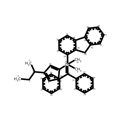 CCC(C)C1=CC[C]([Zr]([CH3])([CH3])(=[C](c2ccccc2)c2ccccc2)[c]2cccc3c2Cc2ccccc2-3)=C1